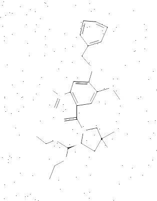 CCSC(SCC)[C@@H]1CC(F)(F)CN1C(=O)c1cc(OC)c(OCc2ccccc2)cc1[N+](=O)[O-]